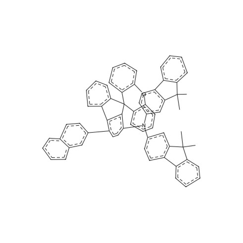 CC1(C)c2ccccc2-c2ccc(N(c3ccc4c(c3)C(C)(C)c3ccccc3-4)c3ccc(-c4ccc5ccccc5c4)c4c3C3(c5ccccc5Oc5ccccc53)c3ccccc3-4)cc21